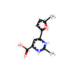 Cc1nc(C(=O)O)cc(-c2ccc(C)o2)n1